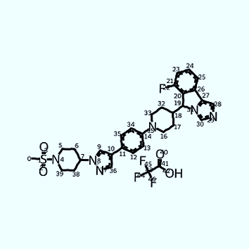 CS(=O)(=O)N1CCC(n2cc(-c3ccc(N4CCC(C5c6c(F)cccc6-c6cncn65)CC4)cc3)cn2)CC1.O=C(O)C(F)(F)F